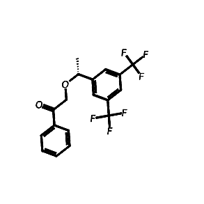 C[C@@H](OCC(=O)c1ccccc1)c1cc(C(F)(F)F)cc(C(F)(F)F)c1